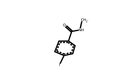 [CH2]NC(=O)c1ccc(I)cc1